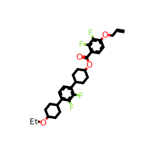 C=CCOc1ccc(C(=O)OC2CCC(c3ccc(C4CCC(OCC)CC4)c(F)c3F)CC2)c(F)c1F